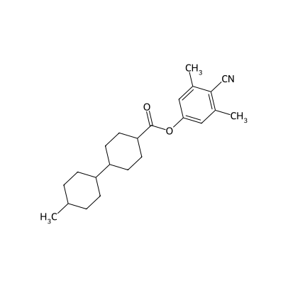 Cc1cc(OC(=O)C2CCC(C3CCC(C)CC3)CC2)cc(C)c1C#N